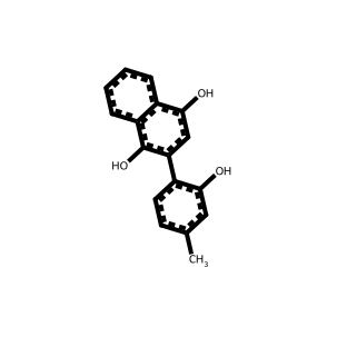 Cc1ccc(-c2cc(O)c3ccccc3c2O)c(O)c1